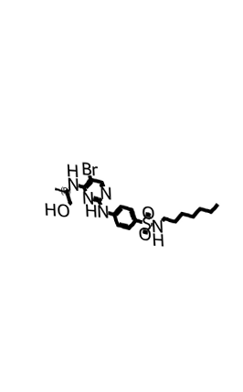 CCCCCCCNS(=O)(=O)c1ccc(Nc2ncc(Br)c(N[C@H](C)CO)n2)cc1